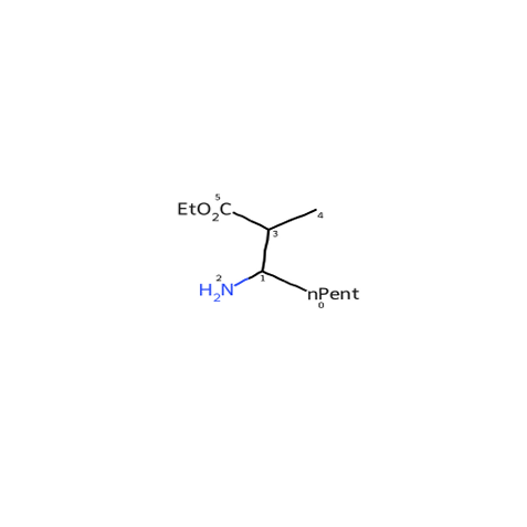 CCCCCC(N)C(C)C(=O)OCC